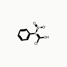 O=[N+]([O-])S(=C(O)Cl)c1ccccc1